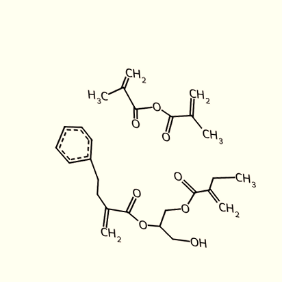 C=C(C)C(=O)OC(=O)C(=C)C.C=C(CC)C(=O)OCC(CO)OC(=O)C(=C)CCc1ccccc1